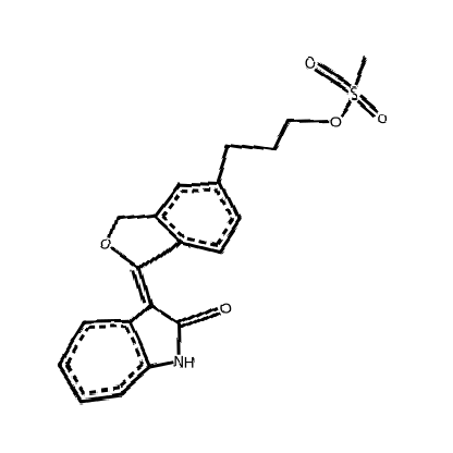 CS(=O)(=O)OCCCc1ccc2c(c1)CO/C2=C1/C(=O)Nc2ccccc21